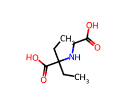 CCC(CC)(NCC(=O)O)C(=O)O